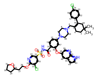 CC1(C)CCC(CN2CCN(c3ccc(C(=O)NS(=O)(=O)c4cnc(OCCC5CCCO5)c(Cl)c4)c(Oc4cnc5[nH]ccc5c4)c3)CC2)=C(c2ccc(Cl)cc2)C1